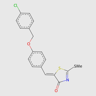 CSC1=NC(=O)/C(=C/c2ccc(OCc3ccc(Cl)cc3)cc2)S1